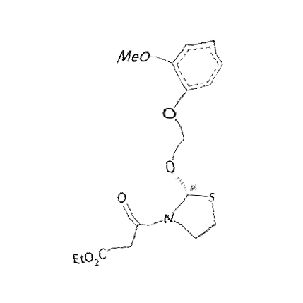 CCOC(=O)CC(=O)N1CCS[C@H]1OCOc1ccccc1OC